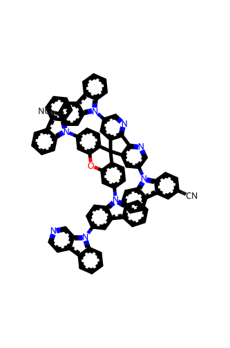 N#Cc1ccc2c(c1)c1ccccc1n2-c1cnc2c(c1)C1(c3ccc(-n4c5ccccc5c5ccccc54)cc3Oc3cc(-n4c5ccccc5c5cc(-n6c7ccccc7c7ccncc76)ccc54)ccc31)c1cc(-n3c4ccccc4c4cc(C#N)ccc43)cnc1-2